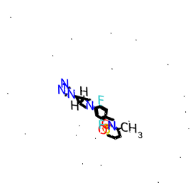 C[C@H]1CCCS(=O)(=O)N1Cc1cc(F)c(N2C[C@@H]3[C@H](C2)[C@@H]3n2cnnc2)cc1F